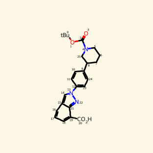 CC(C)(C)OC(=O)N1CCCC(c2ccc(-n3cc4cccc(C(=O)O)c4n3)cc2)C1